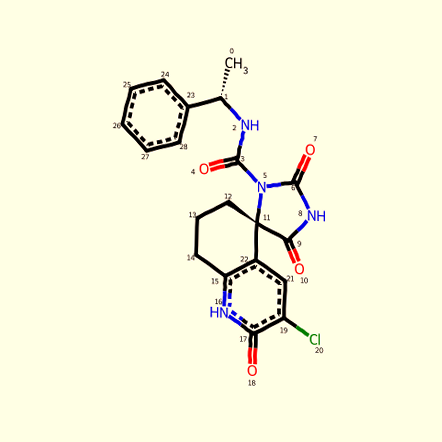 C[C@H](NC(=O)N1C(=O)NC(=O)[C@@]12CCCc1[nH]c(=O)c(Cl)cc12)c1ccccc1